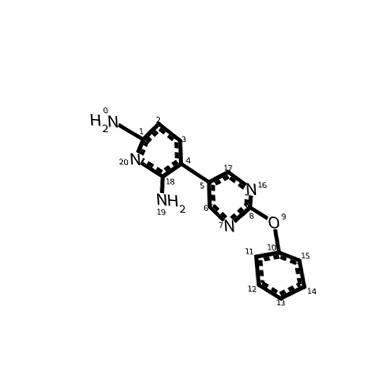 Nc1ccc(-c2cnc(Oc3ccccc3)nc2)c(N)n1